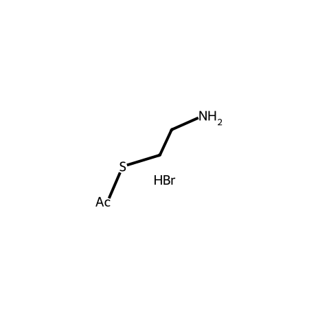 Br.CC(=O)SCCN